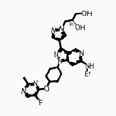 CCNc1cc2c(cn1)c(-c1cnn(C[C@@H](O)CO)c1)nn2C1CCC(Oc2nc(C)ncc2F)CC1